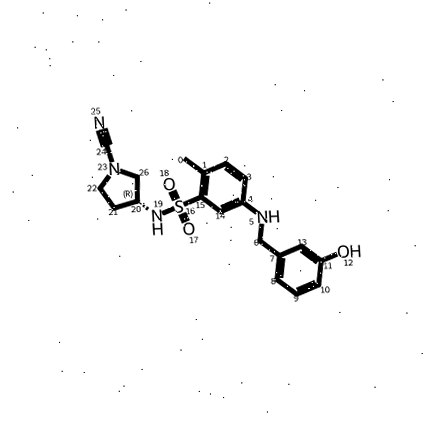 Cc1ccc(NCc2cccc(O)c2)cc1S(=O)(=O)N[C@@H]1CCN(C#N)C1